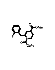 COC(=O)C1CCN(C(=O)OC)C(Cc2ccccc2F)C1